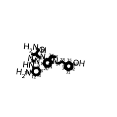 NC(=O)c1cnc(N[C@@H]2CCCC[C@@H]2N)nc1Nc1cccc2c1ccn2CCc1cccc(O)c1